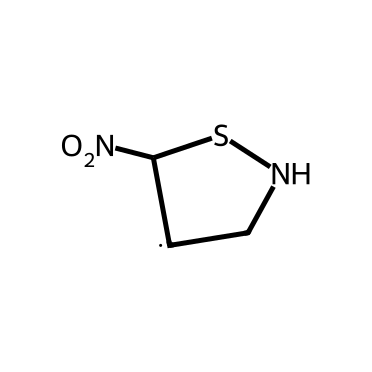 O=[N+]([O-])C1[CH]CNS1